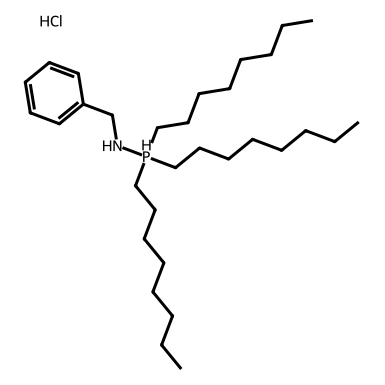 CCCCCCCC[PH](CCCCCCCC)(CCCCCCCC)NCc1ccccc1.Cl